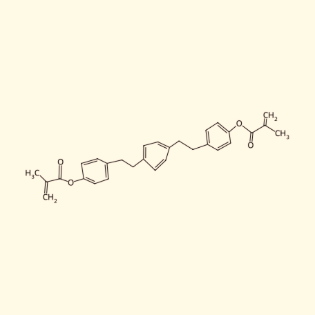 C=C(C)C(=O)Oc1ccc(CCc2ccc(CCc3ccc(OC(=O)C(=C)C)cc3)cc2)cc1